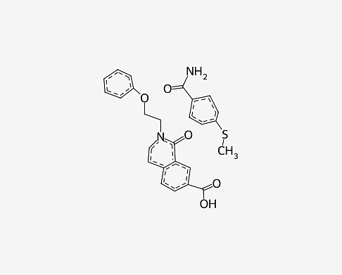 CSc1ccc(C(N)=O)cc1.O=C(O)c1ccc2ccn(CCOc3ccccc3)c(=O)c2c1